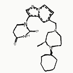 C[C@H]1CN(Cc2ccn3ncc(N4CCC(=O)NC4=O)c3c2)CCN1C1CCCCC1